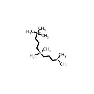 CN(C)CCC[N+](C)(C)CCC[N+](C)(C)C